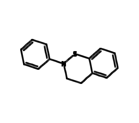 c1ccc(N2CCc3ccccc3S2)cc1